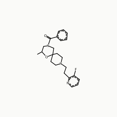 CC1CN(C(=O)c2ccccc2)CC2(CCN(CCc3ncccc3F)CC2)O1